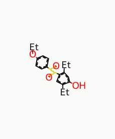 CCOc1ccc(S(=O)(=O)c2cc(CC)c(O)cc2CC)cc1